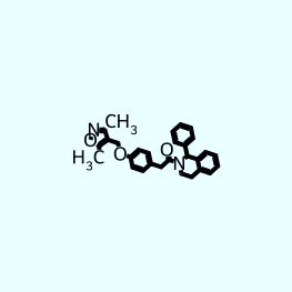 Cc1noc(C)c1COc1ccc(CC(=O)N2CCc3ccccc3C2c2ccccc2)cc1